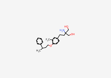 CC(CCOc1ccc(CCC(N)(CO)CO)cc1C(F)(F)F)c1ccccc1